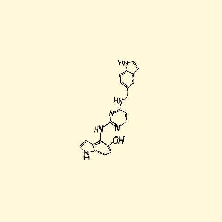 Oc1ccc2[nH]ccc2c1Nc1nccc(NCc2ccc3[nH]ccc3c2)n1